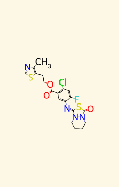 Cc1ncsc1CCOC(=O)c1cc(N=c2sc(=O)n3n2CCCC3)c(F)cc1Cl